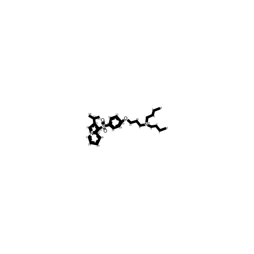 CCCCN(CCCC)CCCOc1ccc(S(=O)(=O)c2c(C(C)C)cn3ccccc23)cc1